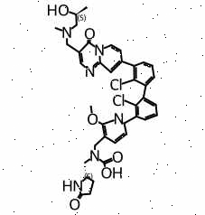 COc1nc(-c2cccc(-c3cccc(-c4ccn5c(=O)c(CN(C)C[C@H](C)O)cnc5c4)c3Cl)c2Cl)ccc1CN(C[C@@H]1CCC(=O)N1)C(=O)O